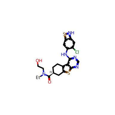 CCN(CCO)C(=O)[C@H]1CCc2c(sc3ncnc(Nc4cc5s[nH]c5cc4Cl)c23)C1